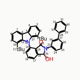 CC(C)(C)c1cccc2c3cccc(C(C)(C)C)c3n(-c3cccc4c3C(=O)N(c3cccc(-c5ccccc5)c3)C4O)c12